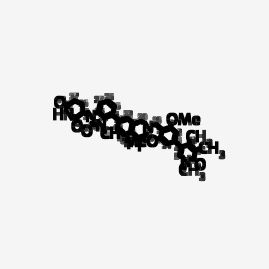 COc1cc(-c2cn(C)c(=O)c(C)c2C)cc(OC)c1CN1Cc2cc(-c3cccc4c3n(C)c(=O)n4C3CCC(=O)NC3=O)ccc2C(F)(F)C1